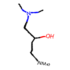 CNCC(O)CN(C)C